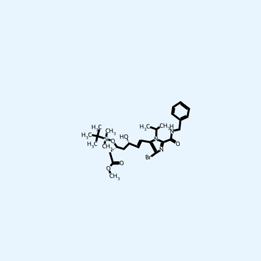 COC(=O)C[C@@H](C[C@H](O)/C=C/c1c(Br)nc(C(=O)NCc2ccccc2)n1C(C)C)O[Si](C)(C)C(C)(C)C